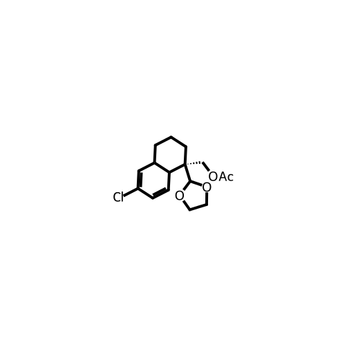 CC(=O)OC[C@@]1(C2OCCO2)CCCC2C=C(Cl)C=CC21